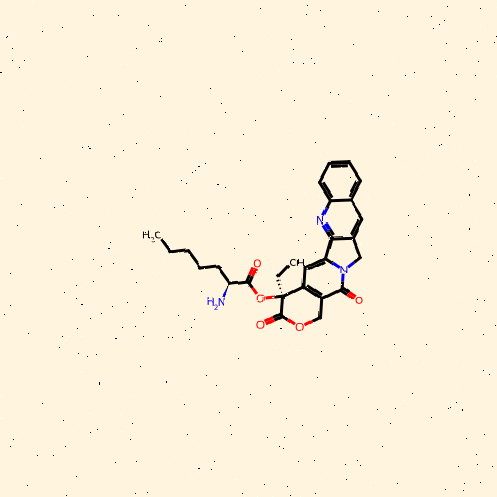 CCCCC[C@H](N)C(=O)O[C@]1(CC)C(=O)OCc2c1cc1n(c2=O)Cc2cc3ccccc3nc2-1